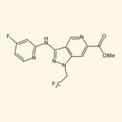 COC(=O)c1cc2c(cn1)c(Nc1cc(F)ccn1)nn2CC(F)(F)F